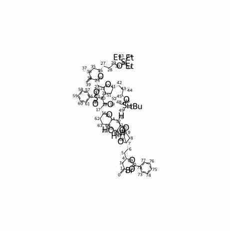 C=C(Br)C[C@@H](CC[C@@]12CC3OC4[C@@H](O1)C1O[C@@H](CC(=O)C([C@H]5C(C[C@H]6O[C@@H](CCCO[Si](CC)(CC)CC)C[C@@H](C)C6=C)O[C@H](C[C@H](C)CO[Si](C)(C)C(C)(C)C)[C@@H]5C)S(=O)(=O)c5ccccc5)CC[C@@H]1O[C@H]4[C@H]3O2)OC(=O)c1ccccc1